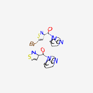 O=C(c1cc(Br)sn1)N1CCN2CCC1CC2.O=C(c1ccsn1)N1CCN2CCC1CC2